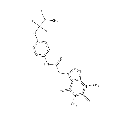 CC(F)C(F)(F)Oc1ccc(NC(=O)Cn2cnc3c2c(=O)n(C)c(=O)n3C)cc1